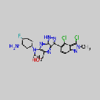 CN(c1nc2[nH]nc(-c3ccc4nn(C)c(Cl)c4c3Cl)c2nc1CO)[C@@H]1CC[C@H](F)[C@@H](N)C1